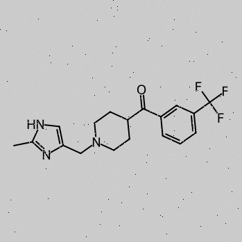 Cc1nc(CN2CCC(C(=O)c3cccc(C(F)(F)F)c3)CC2)c[nH]1